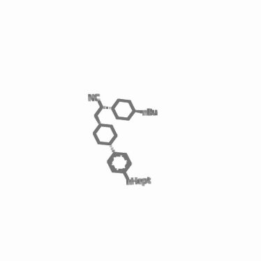 CCCCCCCc1ccc([C@H]2CC[C@H](CC(C#N)[C@H]3CC[C@H](CCCC)CC3)CC2)cc1